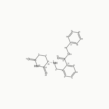 O=C1CC[C@H](NCc2ccccc2C(=O)OCc2ccccc2)C(=O)N1